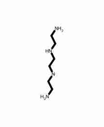 NCC[N]CCNCCN